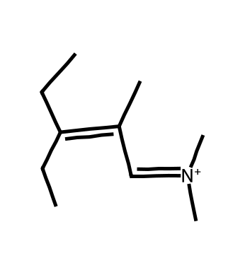 CCC(CC)=C(C)C=[N+](C)C